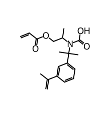 C=CC(=O)OCC(C)N(C(=O)O)C(C)(C)c1cccc(C(=C)C)c1